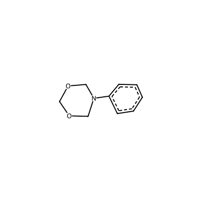 c1ccc(N2COCOC2)cc1